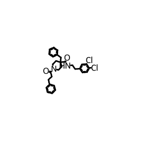 O=C(CCc1ccccc1)N1CCC(Cc2ccccc2)(C(=O)NCCc2ccc(Cl)c(Cl)c2)CC1